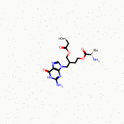 CCCCCCCCCCCC(=O)OCC(CCOC(=O)[C@@H](N)[C@@H](C)CC)Cn1cnc2c(=O)[nH]c(N)nc21